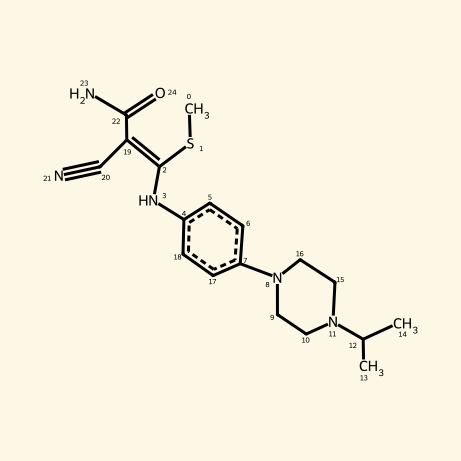 CS/C(Nc1ccc(N2CCN(C(C)C)CC2)cc1)=C(/C#N)C(N)=O